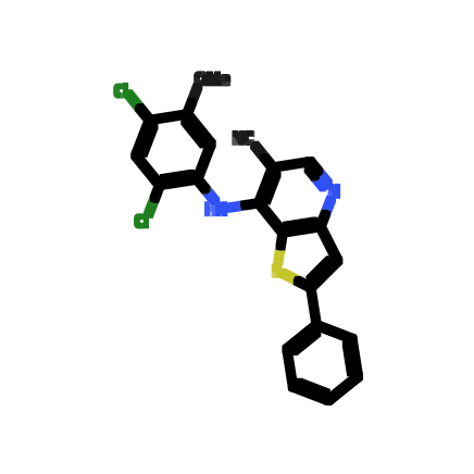 COc1cc(Nc2c(C#N)cnc3cc(-c4ccccc4)sc23)c(Cl)cc1Cl